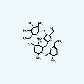 NCC1=CC[C@@H](N)[C@@H](O[C@H]2[C@H](O[C@@H]3O[C@H](CO)[C@@H](O[C@H]4O[C@@H](CN)[C@@H](O)[C@H](O)[C@H]4N)[C@H]3O)[C@@H](O)[C@H](N)C[C@@H]2N)O1